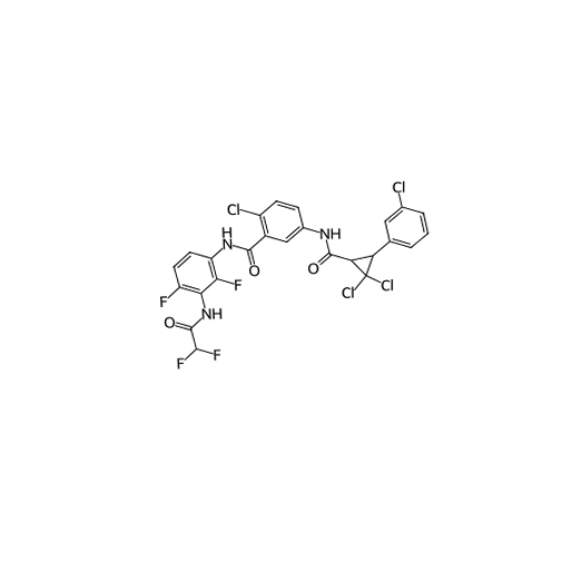 O=C(Nc1ccc(F)c(NC(=O)C(F)F)c1F)c1cc(NC(=O)C2C(c3cccc(Cl)c3)C2(Cl)Cl)ccc1Cl